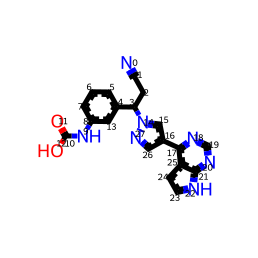 N#CCC(c1cccc(NC(=O)O)c1)n1cc(-c2ncnc3[nH]ccc23)cn1